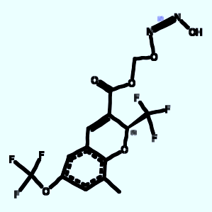 Cc1cc(OC(F)(F)F)cc2c1O[C@H](C(F)(F)F)C(C(=O)OCO/N=N\O)=C2